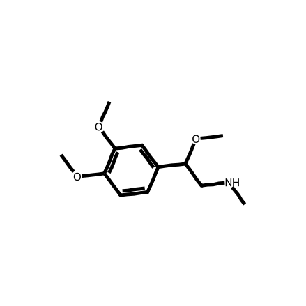 CNCC(OC)c1ccc(OC)c(OC)c1